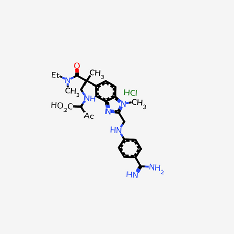 CCN(C)C(=O)C(C)(CNC(C(C)=O)C(=O)O)c1ccc2c(c1)nc(CNc1ccc(C(=N)N)cc1)n2C.Cl